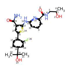 C[C@H](O)CNC(=O)c1cccc(Nc2sc(-c3ccc(C(C)(C)O)cc3F)cc2C(N)=O)n1